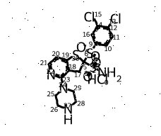 Cl.NS(=O)(=O)C1(S(=O)(=O)c2ccc(Cl)c(Cl)c2)Cc2c(ccnc2N2CCNCC2)S1